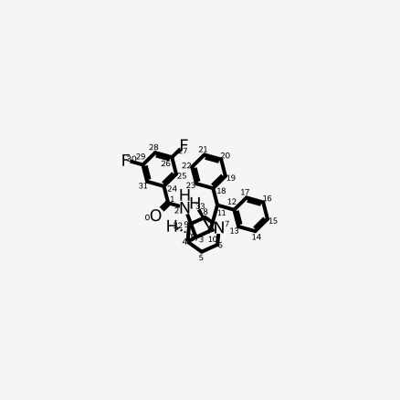 O=C(N[C@@H]1C2CCN(CC2)[C@H]1C(c1ccccc1)c1ccccc1)c1cc(F)cc(F)c1